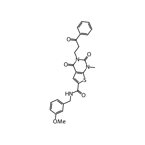 COc1cccc(CNC(=O)c2cc3c(=O)n(CCC(=O)c4ccccc4)c(=O)n(C)c3s2)c1